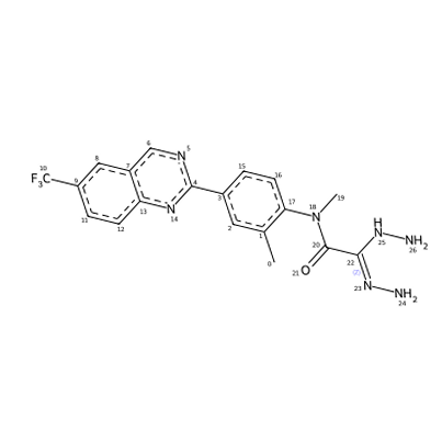 Cc1cc(-c2ncc3cc(C(F)(F)F)ccc3n2)ccc1N(C)C(=O)/C(=N/N)NN